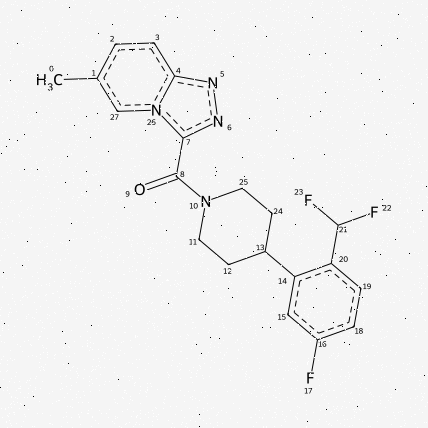 Cc1ccc2nnc(C(=O)N3CCC(c4cc(F)ccc4C(F)F)CC3)n2c1